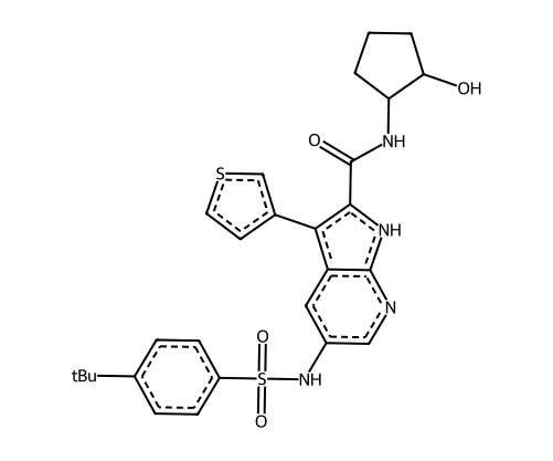 CC(C)(C)c1ccc(S(=O)(=O)Nc2cnc3[nH]c(C(=O)NC4CCCC4O)c(-c4ccsc4)c3c2)cc1